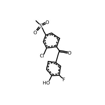 CS(=O)(=O)c1ccc(C(=O)c2ccc(O)c(F)c2)c(Cl)c1